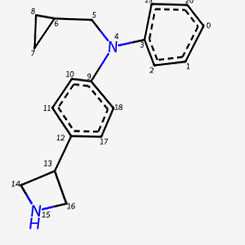 c1ccc(N(CC2CC2)c2ccc(C3CNC3)cc2)cc1